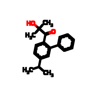 CC(C)c1ccc(C(=O)C(C)(C)O)c(-c2ccccc2)c1